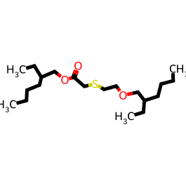 CCCCC(CC)COCCSCC(=O)OCC(CC)CCCC